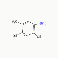 N#Cc1cc(N=O)c(C(F)(F)F)cc1N